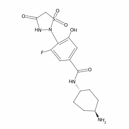 N[C@H]1CC[C@H](NC(=O)c2cc(O)c(N3NC(=O)CS3(=O)=O)c(F)c2)CC1